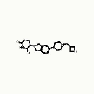 O=C1CCC(N2Cc3ccc(N4CCN(CC5CNC5)CC4)cc3C2)C(=O)N1